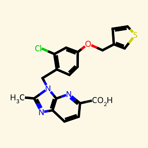 Cc1nc2ccc(C(=O)O)nc2n1Cc1ccc(OCc2ccsc2)cc1Cl